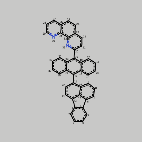 c1ccc2c(c1)-c1cccc3c(-c4c5ccccc5c(-c5ccc6ccc7cccnc7c6n5)c5ccccc45)ccc-2c13